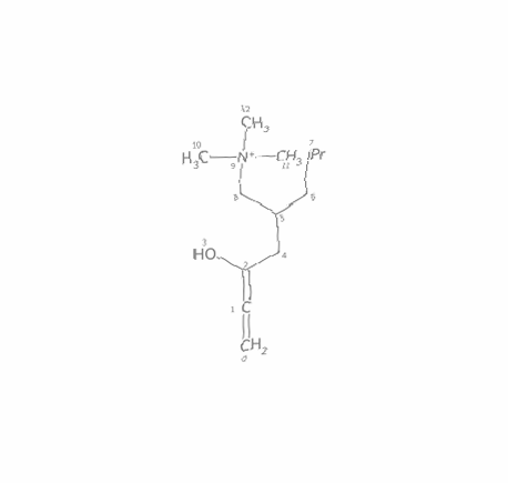 C=C=C(O)CC(CC(C)C)C[N+](C)(C)C